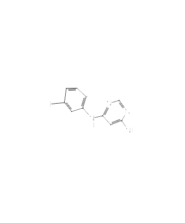 Nc1cc(Nc2cccc(Cl)c2)ncn1